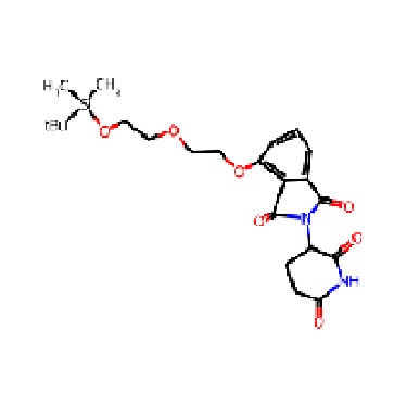 CC(C)(C)[Si](C)(C)OCCOCCOc1cccc2c1C(=O)N(C1CCC(=O)NC1=O)C2=O